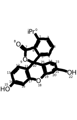 CC(C)c1cccc2c1C(=O)OC21c2ccc(O)cc2Oc2cc(O)ccc21